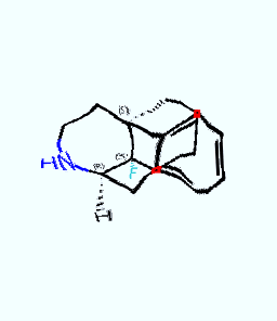 F[C@@]12CCCC[C@@]13CCN[C@@H]2Cc1ccccc13